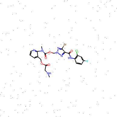 CNCC(=O)OCc1cccnc1N(C)C(=O)OCn1nc(Br)c(C(=O)Nc2ccc(F)cc2Cl)n1